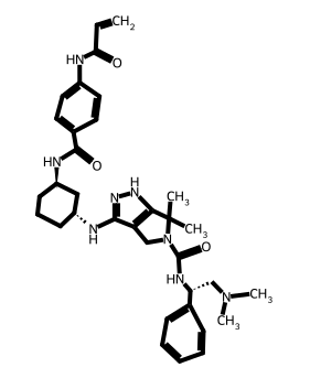 C=CC(=O)Nc1ccc(C(=O)N[C@@H]2CCC[C@@H](Nc3n[nH]c4c3CN(C(=O)N[C@H](CN(C)C)c3ccccc3)C4(C)C)C2)cc1